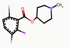 CN1CCC(OC(=O)c2c(I)ccc(I)c2I)CC1